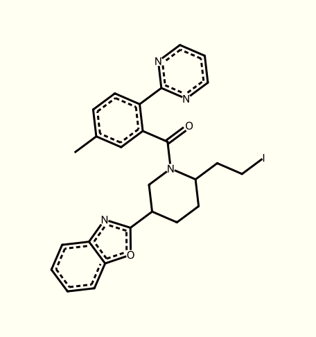 Cc1ccc(-c2ncccn2)c(C(=O)N2CC(c3nc4ccccc4o3)CCC2CCI)c1